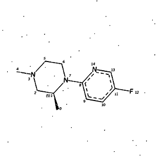 C[C@H]1CN(C)CCN1c1ccc(F)cn1